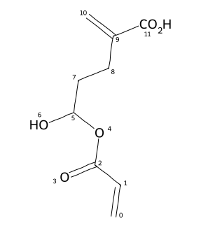 C=CC(=O)OC(O)CCC(=C)C(=O)O